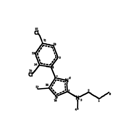 CCCN(C)c1nc(-c2ccc(Cl)cc2Cl)c(C)s1